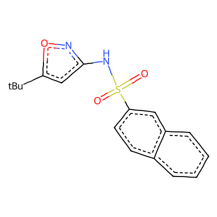 CC(C)(C)c1cc(NS(=O)(=O)c2ccc3ccccc3c2)no1